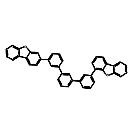 c1cc(-c2cccc(-c3ccc4c(c3)sc3ccccc34)c2)cc(-c2cccc(-c3cccc4c3sc3ccccc34)c2)c1